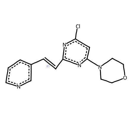 Clc1cc(N2CCOCC2)nc(/C=C/c2cccnc2)n1